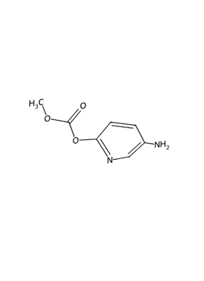 COC(=O)Oc1ccc(N)cn1